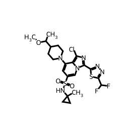 COC(C)C1CCN(c2cc(S(=O)(=O)NC3(C)CC3)cn3c(-c4nnc(C(F)F)s4)nc(Cl)c23)CC1